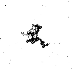 CC(C)(C)c1cccc(-c2cc(-c3ccc(-c4ccccc4)cc3)c(-c3ccccc3-c3cc(CCc4ccc(-c5cccc(C#N)c5)nc4)cc(CCc4ccc(-c5cccc(C#N)c5)nc4)c3)cn2)c1